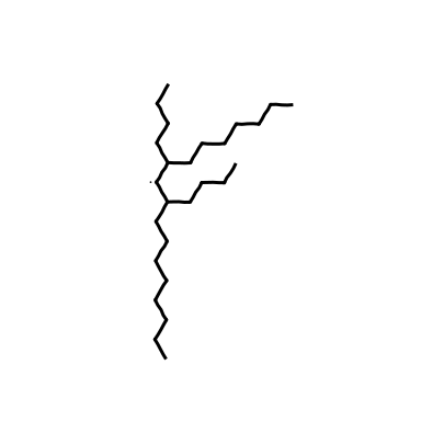 CCCCCCCCC([CH]C(CCCC)CCCCCCC)CCCC